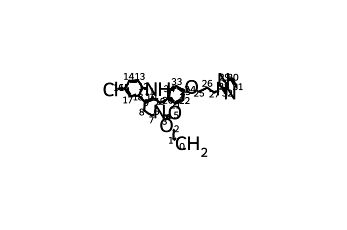 C=CCOC(=O)N1CCC2=C(NC3C=CC(Cl)=CC23)C1c1ccc(OCCCn2nccn2)cc1